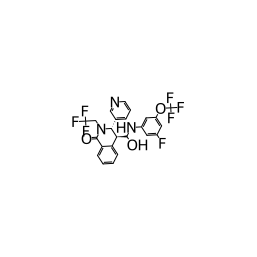 O=C1c2ccccc2[C@H](C(O)Nc2cc(F)cc(OC(F)(F)F)c2)[C@@H](c2cccnc2)N1CC(F)(F)F